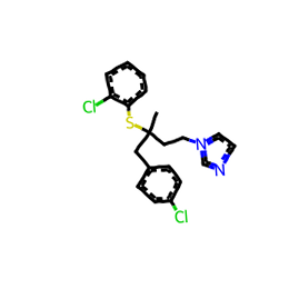 CC(CCn1ccnc1)(Cc1ccc(Cl)cc1)Sc1ccccc1Cl